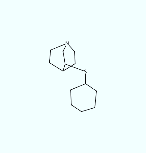 C1CCC(SC2CN3CCC2CC3)CC1